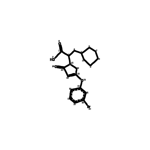 O=C(O)C(CC1CCCCC1)N1CC(Oc2cccc(Br)c2)=CC1=O